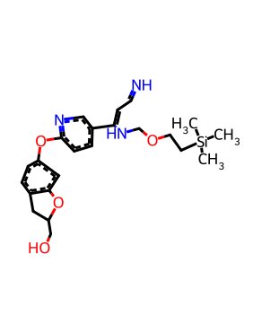 C[Si](C)(C)CCOCN/C(=C\C=N)c1ccc(Oc2ccc3c(c2)OC(CO)C3)nc1